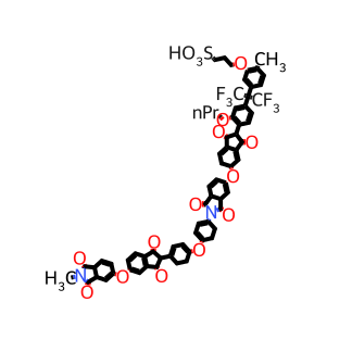 CCCOc1cc(C(c2ccc(C)c(OCCCS(=O)(=O)O)c2)(C(F)(F)F)C(F)(F)F)ccc1C1C(=O)C2=CCC(OC3=CC4C(=O)N(C5=CC=C(OC6=CC=C(C7C(=O)c8ccc(OC9=CC%10C(=O)N(C)C(=O)C%10C=C9)cc8C7=O)CC6)CC5)C(=O)C4C=C3)C=C2C1=O